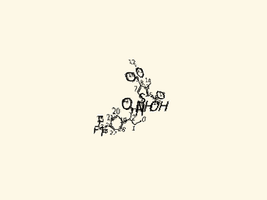 CCC(C(=O)N[SH]1C=C(C(=O)OC)C(C)=C1C(=O)O)c1ccc(C(F)(F)F)cc1